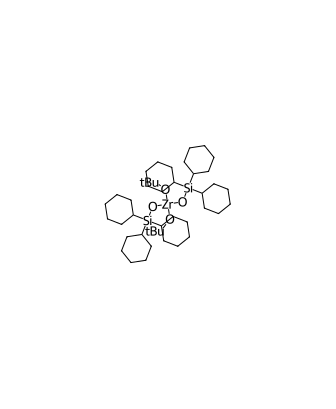 CC(C)(C)[O][Zr]([O]C(C)(C)C)([O][Si](C1CCCCC1)(C1CCCCC1)C1CCCCC1)[O][Si](C1CCCCC1)(C1CCCCC1)C1CCCCC1